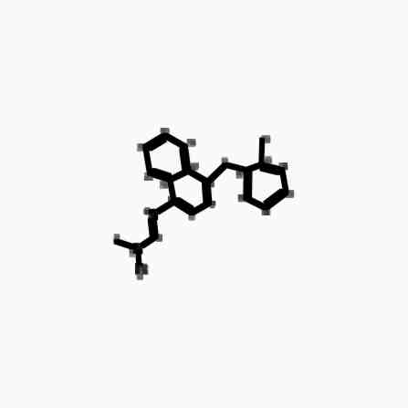 CCN(C)C=Nc1ccc(Cc2ccccc2C)c2ccccc12